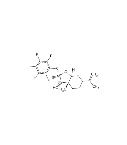 C#[SH]1[C@@]2(C)CC[C@@H](C(=C)C)C[C@@H]2O[P@@]1(=S)Sc1c(F)c(F)c(F)c(F)c1F